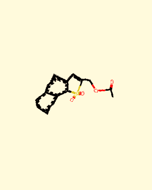 CC(=O)OCC1=Cc2ccc3ccccc3c2S1(=O)=O